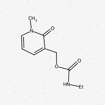 CCNC(=O)OCc1cccn(C)c1=O